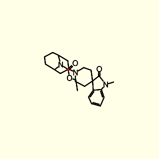 CCOC(=O)N1C2CCCC1CC(N1CCC3(CC1)C(=O)N(C)c1ccccc13)C2